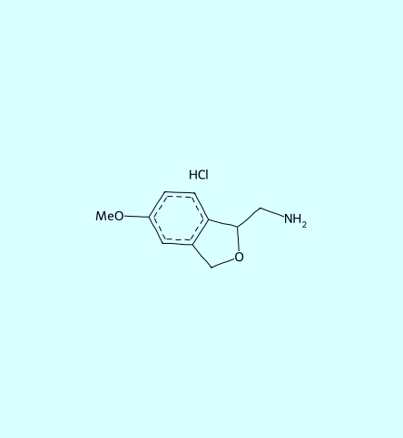 COc1ccc2c(c1)COC2CN.Cl